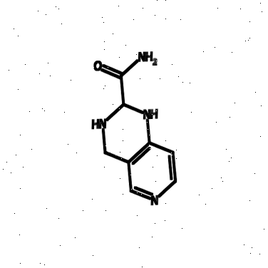 NC(=O)C1NCc2cnccc2N1